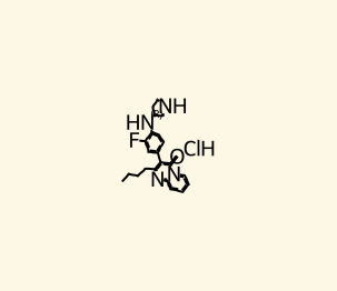 CCCCc1nc2ccccn2c(=O)c1-c1ccc(N[C@@H]2CCNC2)c(F)c1.Cl